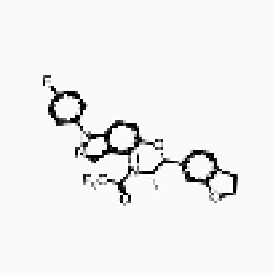 C[C@H](NC(=O)C(F)(F)F)[C@H](Oc1ccc2c(cnn2-c2ccc(F)cc2)c1)c1ccc2c(c1)OCC2